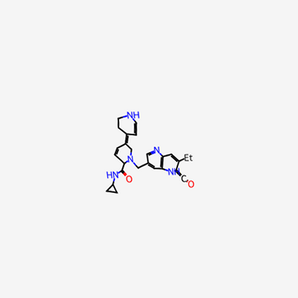 CCC1=Cc2ncc(CN3CC(=C4C=CNCC4)C=CC3C(=O)NC3CC3)cc2NC1=C=O